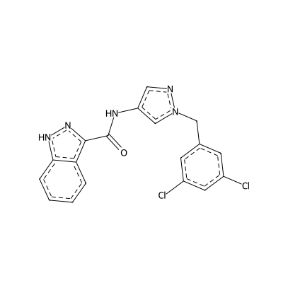 O=C(Nc1cnn(Cc2cc(Cl)cc(Cl)c2)c1)c1n[nH]c2ccccc12